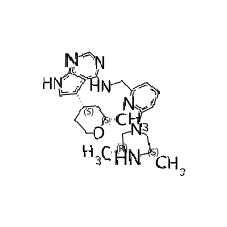 C[C@@H]1CN(c2cccc(CNc3ncnc4[nH]cc([C@H]5CCO[C@@H](C)C5)c34)n2)C[C@H](C)N1